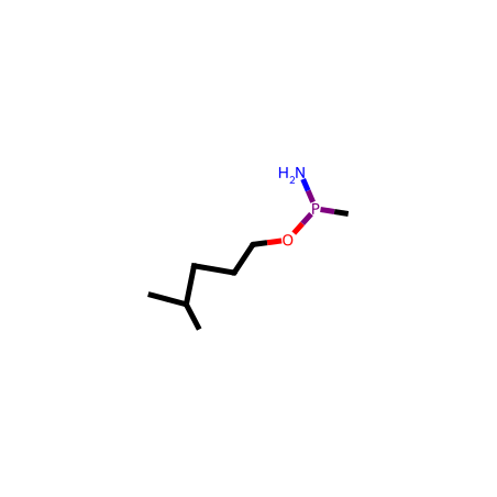 CC(C)CCCOP(C)N